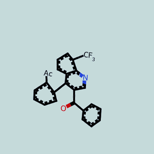 CC(=O)c1ccccc1-c1c(C(=O)c2ccccc2)cnc2c(C(F)(F)F)cccc12